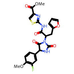 COC(=O)c1csc(NC(=O)C(Cc2ccco2)N2C(=O)NC(c3ccc(OC)c(F)c3)C2=O)n1